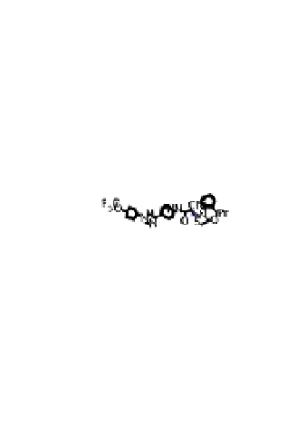 CC(C)c1ccccc1N1C(=O)CS/C1=C(/C#N)C(=O)Nc1ccc(-c2ncn(-c3ccc(OC(F)(F)F)cc3)n2)cc1